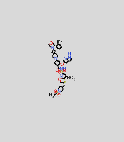 CC(C)c1ccccc1[C@@H]1COCCN1C1CC2(CCN(c3ccc(C(=O)NS(=O)(=O)c4cc([N+](=O)[O-])c5c(n4)OC[C@H](CC4CCN(S(C)(=O)=O)CC4)S5)c(Oc4cnc5[nH]ccc5c4)c3)CC2)C1